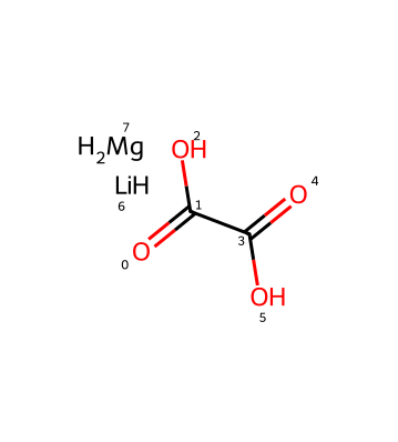 O=C(O)C(=O)O.[LiH].[MgH2]